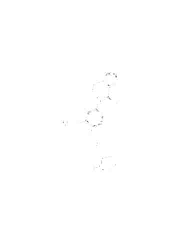 COc1cc(N2CCc3cc(Br)sc3C2=O)ccc1OCCC1CCCN1